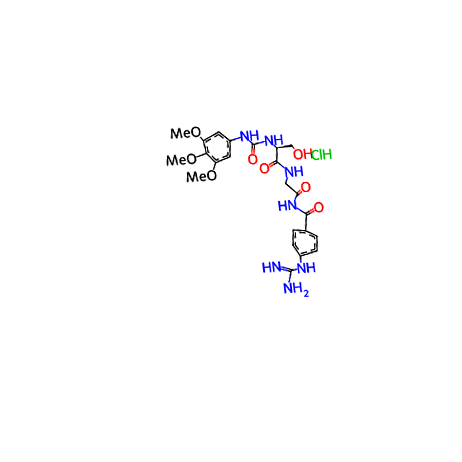 COc1cc(NC(=O)N[C@@H](CO)C(=O)NCC(=O)NC(=O)c2ccc(NC(=N)N)cc2)cc(OC)c1OC.Cl